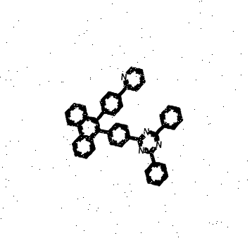 c1ccc(-c2nc(-c3ccccc3)nc(-c3ccc(-c4c(-c5ccc(-c6ccccn6)cc5)c5ccccc5c5ccccc45)cc3)n2)cc1